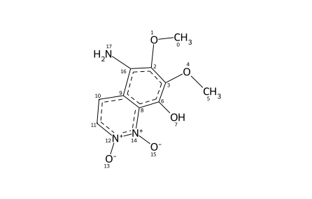 COc1c(OC)c(O)c2c(cc[n+]([O-])[n+]2[O-])c1N